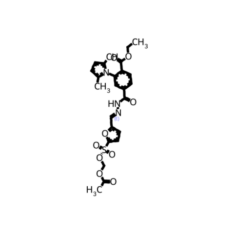 CCOC(=O)c1ccc(C(=O)N/N=C/c2ccc(S(=O)(=O)OCOC(C)=O)o2)cc1-n1c(C)ccc1C